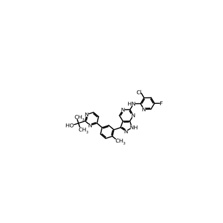 Cc1ccc(-c2ccnc(C(C)(C)O)n2)cc1-c1n[nH]c2nc(Nc3ncc(F)cc3Cl)ncc12